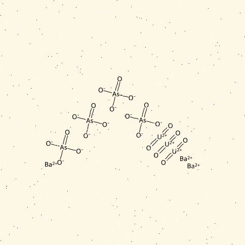 O=[As]([O-])([O-])[O-].O=[As]([O-])([O-])[O-].O=[As]([O-])([O-])[O-].O=[As]([O-])([O-])[O-].[Ba+2].[Ba+2].[Ba+2].[O]=[U+2]=[O].[O]=[U+2]=[O].[O]=[U+2]=[O]